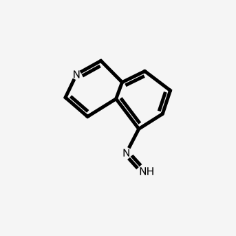 N=Nc1cccc2cnccc12